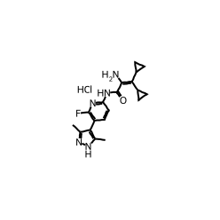 Cc1n[nH]c(C)c1-c1ccc(NC(=O)C(N)=C(C2CC2)C2CC2)nc1F.Cl